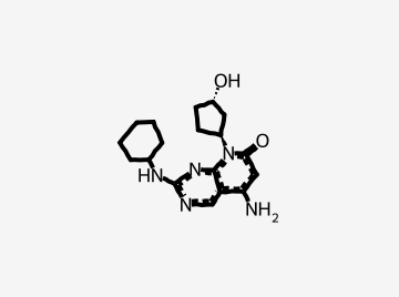 Nc1cc(=O)n([C@H]2CC[C@H](O)C2)c2nc(NC3CCCCC3)ncc12